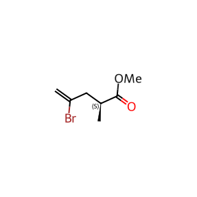 C=C(Br)C[C@H](C)C(=O)OC